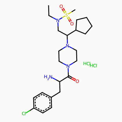 CCN(CC(C1CCCC1)N1CCN(C(=O)C(N)Cc2ccc(Cl)cc2)CC1)S(C)(=O)=O.Cl.Cl